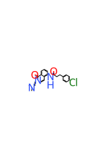 CN(C)CCn1ccc2c(NC(=O)CCc3ccc(Cl)cc3)cccc2c1=O